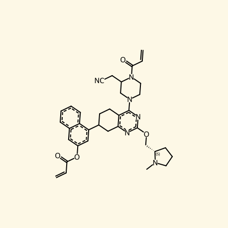 C=CC(=O)Oc1cc(C2CCc3c(nc(OC[C@@H]4CCCN4C)nc3N3CCN(C(=O)C=C)C(CC#N)C3)C2)c2ccccc2c1